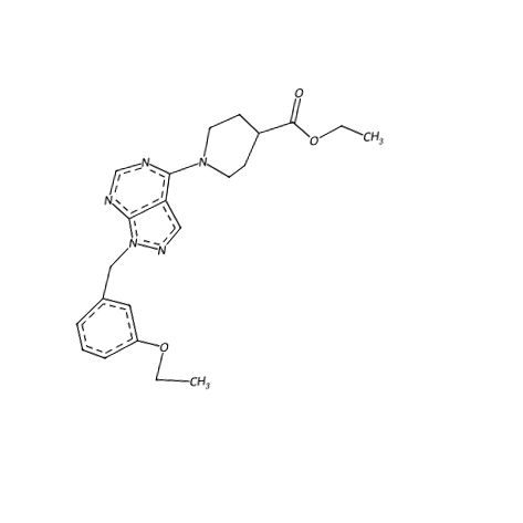 CCOC(=O)C1CCN(c2ncnc3c2cnn3Cc2cccc(OCC)c2)CC1